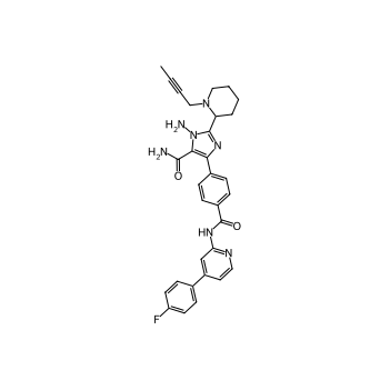 CC#CCN1CCCCC1c1nc(-c2ccc(C(=O)Nc3cc(-c4ccc(F)cc4)ccn3)cc2)c(C(N)=O)n1N